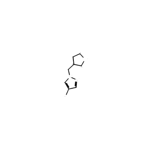 Brc1cnn(CC2CCOC2)c1